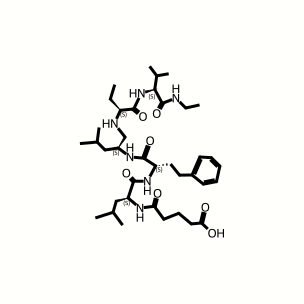 CCNC(=O)[C@@H](NC(=O)[C@H](CC)NC[C@H](CC(C)C)NC(=O)[C@H](CCc1ccccc1)NC(=O)[C@H](CC(C)C)NC(=O)CCCC(=O)O)C(C)C